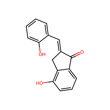 O=C1/C(=C/c2ccccc2O)Cc2c(O)cccc21